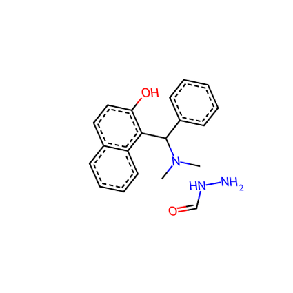 CN(C)C(c1ccccc1)c1c(O)ccc2ccccc12.NNC=O